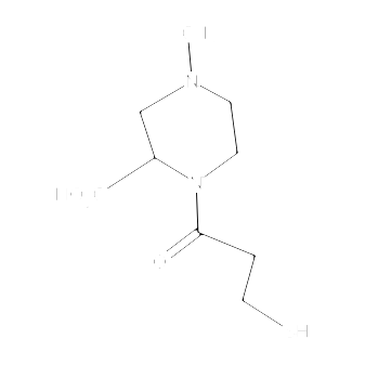 CN1CCN(C(=O)CCS)C(C(=O)O)C1